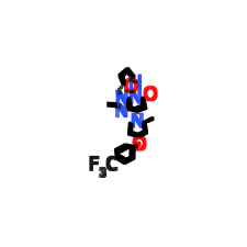 Cc1nc2c(N3CC[C@H](Oc4ccc(C(F)(F)F)cc4)C[C@@H]3C)cc(=O)[nH]c2n1C[C@@H]1CCCO1